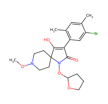 CON1CCC2(CC1)C(O)=C(c1cc(Br)c(C)cc1C)C(=O)N2OC1CCCO1